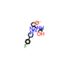 [O-][S+]1CCc2nc(N3CCC(c4ccc(F)cc4)CC3)nc(NC3(CO)CC3)c21